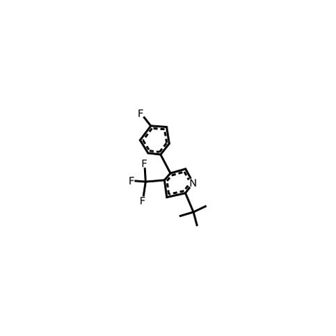 CC(C)(C)c1cc(C(F)(F)F)c(-c2ccc(F)cc2)cn1